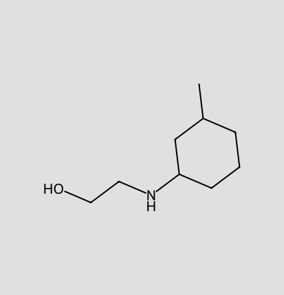 CC1CCCC(NCCO)C1